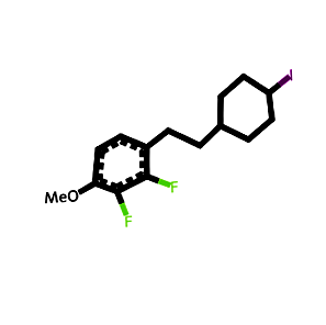 COc1ccc(CCC2CCC(I)CC2)c(F)c1F